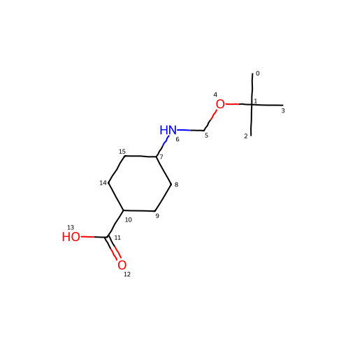 CC(C)(C)OCNC1CCC(C(=O)O)CC1